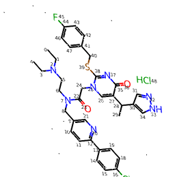 CCN(CC)CCN(Cc1ccc(-c2ccc(Cl)cc2)nc1)C(=O)Cn1cc(C(C)c2cn[nH]c2)c(=O)nc1SCc1ccc(F)cc1.Cl